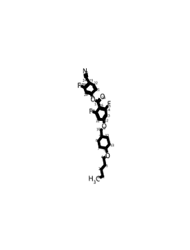 CCCCCOC1CCC(COc2cc(F)c(C(=O)Oc3ccc(C#N)c(F)c3)c(F)c2)CC1